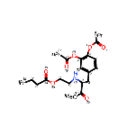 CCCC(=O)Oc1ccc(C[C@H](NCCOC(=O)CCC(C)C)C(=O)OC)cc1OC(=O)CCC